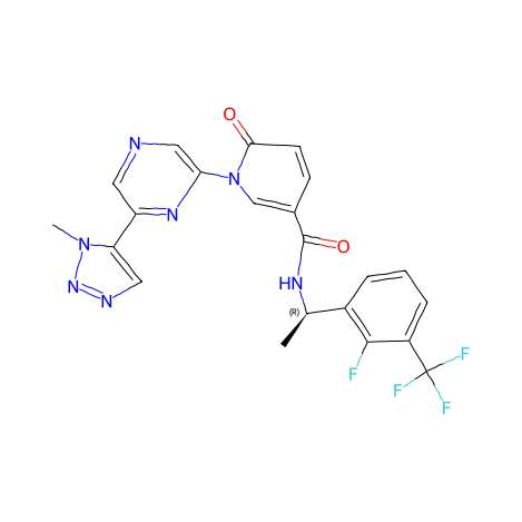 C[C@@H](NC(=O)c1ccc(=O)n(-c2cncc(-c3cnnn3C)n2)c1)c1cccc(C(F)(F)F)c1F